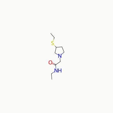 CCNC(=O)CN1CCC(SCC)C1